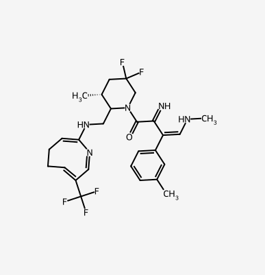 CN/C=C(\C(=N)C(=O)N1CC(F)(F)C[C@@H](C)C1CNC1=C/CC/C=C(C(F)(F)F)/C=N\1)c1cccc(C)c1